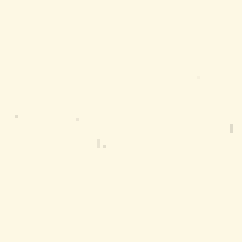 O=C1C(O)CCN1c1ccc(F)c(Br)c1